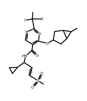 CC1C2CC(Oc3nc(C(C)(F)F)ncc3C(=O)NC(/C=C/S(C)(=O)=O)C3CC3)CC12